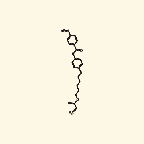 C=CC(=O)OCCCCCOc1ccc(OC(=O)c2ccc(CCCCC)cc2)cc1